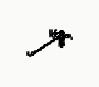 CCCCCCCCCCCCCCCCCN(C(=O)Cn1ncnn1)c1c(C(C)C)cccc1C(C)C